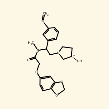 C=Nc1cccc(C(CN2CC[C@H](O)C2)N(C)C(=O)COc2ccc3c(c2)OCO3)c1